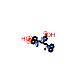 CCn1\c(=C/C=C(/C=C/C2=[N+](CC)c3cccc4cccc2c34)c2ccc(C(=O)O)cn2)c2cccc3c(S(=O)(=O)O)ccc1c32